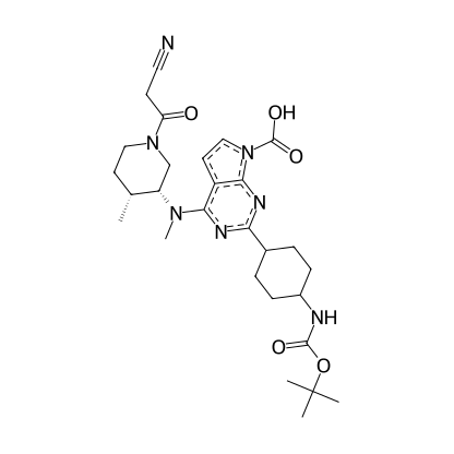 C[C@@H]1CCN(C(=O)CC#N)C[C@@H]1N(C)c1nc(C2CCC(NC(=O)OC(C)(C)C)CC2)nc2c1ccn2C(=O)O